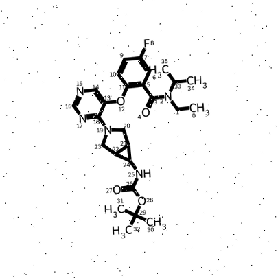 CCN(C(=O)c1cc(F)ccc1Oc1cncnc1N1CC2C(C1)C2NC(=O)OC(C)(C)C)C(C)C